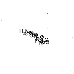 COCCn1c(Cc2ccc(-c3cccc(OCn4ccc(C(N)=O)cc4=O)n3)cc2F)nc2ccc(C(=O)OC)cc21